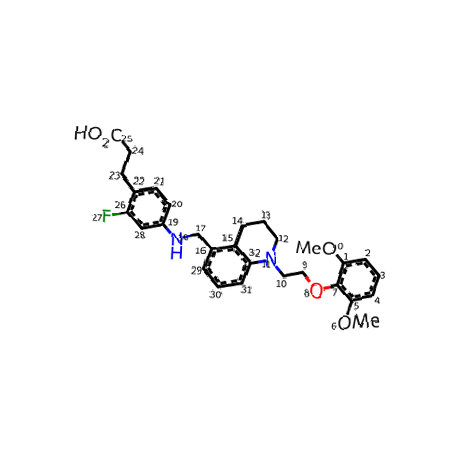 COc1cccc(OC)c1OCCN1CCCc2c(CNc3ccc(CCC(=O)O)c(F)c3)cccc21